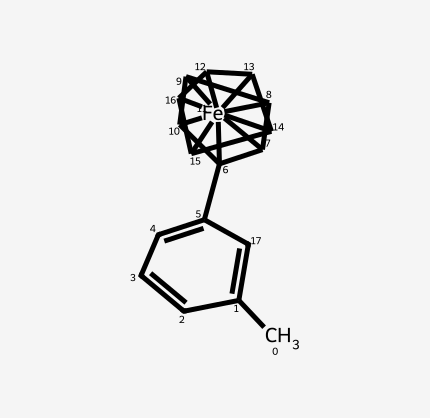 Cc1cccc([C]23[CH]4[CH]5[CH]6[CH]2[Fe]56432789[CH]3[CH]2[CH]7[CH]8[CH]39)c1